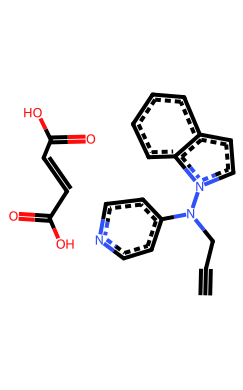 C#CCN(c1ccncc1)n1ccc2ccccc21.O=C(O)C=CC(=O)O